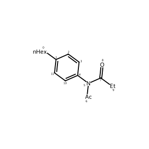 [CH2]CCCCCc1ccc(N(C(C)=O)C(=O)CC)cc1